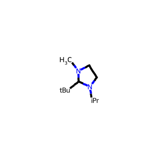 CC(C)N1CCN(C)C1C(C)(C)C